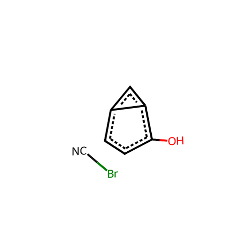 N#CBr.Oc1ccc2cc1-2